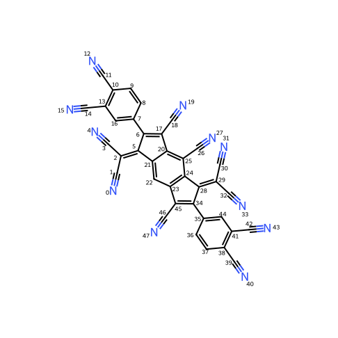 N#CC(C#N)=C1C(c2ccc(C#N)c(C#N)c2)=C(C#N)c2c1cc1c(c2C#N)C(=C(C#N)C#N)C(c2ccc(C#N)c(C#N)c2)=C1C#N